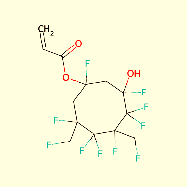 C=CC(=O)OC1(F)CC(O)(F)C(F)(F)C(F)(CF)C(F)(F)C(F)(CF)C1